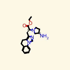 CCOC(=O)[C@H](Cc1ncn2c1CCc1ccccc1-2)N1CC[C@H](N)C1